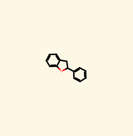 [c]1cccc(C2Cc3ccccc3O2)c1